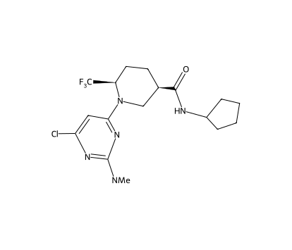 CNc1nc(Cl)cc(N2C[C@H](C(=O)NC3CCCC3)CC[C@@H]2C(F)(F)F)n1